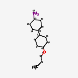 CCCOC1CCC(C2CCC(P)CC2)CC1